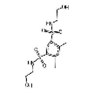 Cc1cc(C)c(S(=O)(=O)NCCO)cc1S(=O)(=O)NCCO